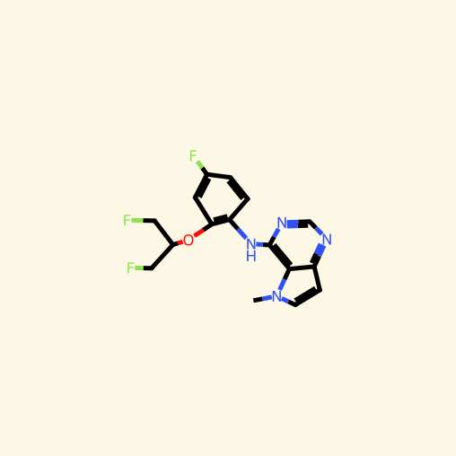 Cn1ccc2ncnc(Nc3ccc(F)cc3OC(CF)CF)c21